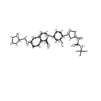 CC(C)(C)OC(=O)NC1CCN(c2ccc(-n3ccc4cc(OCC5CCCO5)ccc4c3=O)cc2F)C1